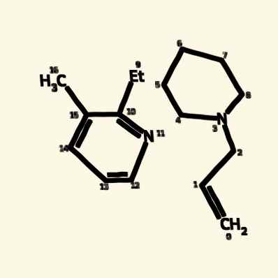 C=CCN1CCCCC1.CCc1ncccc1C